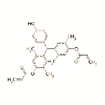 C=CC(=O)Oc1cc(C)c(C(c2ccc(O)cc2)c2cc(C)c(OC(=O)C=C)cc2C)cc1C